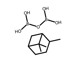 CC1CCC2CC1C2(C)C.OB(O)OB(O)O